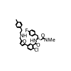 CNC(=O)C[C@@H](Cc1ccc(F)cc1)NC(=O)c1cc(-c2ccc(CNCCc3ccc(C)cc3)o2)ccc1Cl